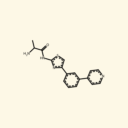 CC(N)C(=O)Nc1nc(-c2cccc(-c3ccncc3)c2)cs1